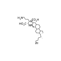 CC(C)CCC[C@@H](C)[C@H]1CCC2C3CCC4CC(N(C(=O)O)C(CCCN)[C@H](N)C(=O)O)CC[C@]4(C)C3CC[C@@]21C